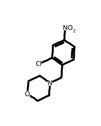 O=[N+]([O-])c1ccc(CN2CCOCC2)c(Cl)c1